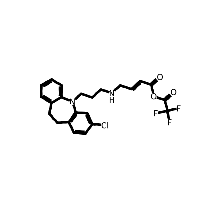 O=C(/C=C/CNCCCN1c2ccccc2CCc2ccc(Cl)cc21)OC(=O)C(F)(F)F